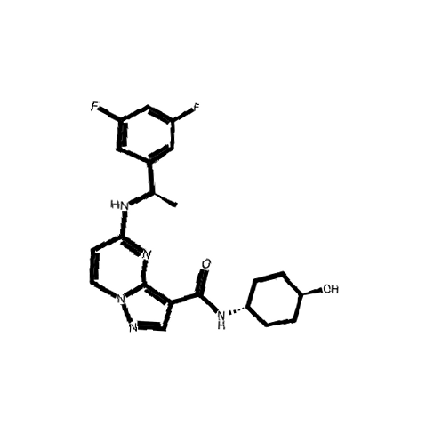 C[C@@H](Nc1ccn2ncc(C(=O)N[C@H]3CC[C@H](O)CC3)c2n1)c1cc(F)cc(F)c1